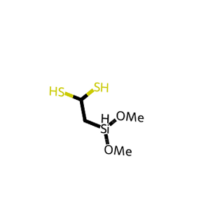 CO[SiH](CC(S)S)OC